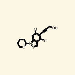 OCC#Cc1c(Cl)cc2c(cnn2C2CCCCO2)c1Br